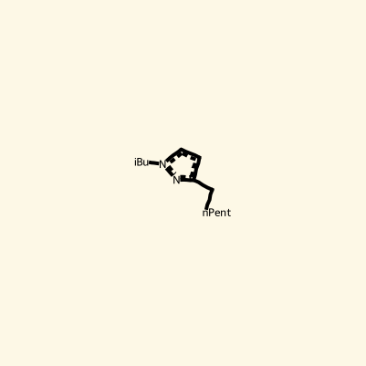 [CH2]CCCCCc1ccn(C(C)CC)n1